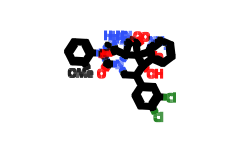 COc1ccccc1N(C)C(=O)N1CC(c2ccc(Cl)c(Cl)c2)C(O)(c2ccccc2)C(C(N)=O)(C(N)=O)C1(C(N)=O)C(N)=O